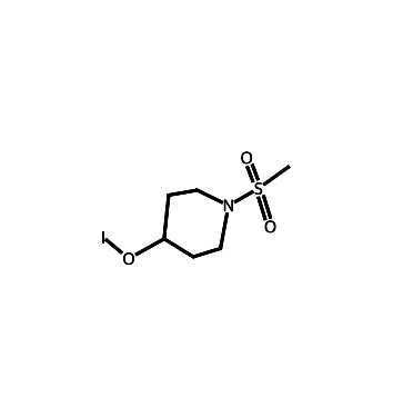 CS(=O)(=O)N1CCC(OI)CC1